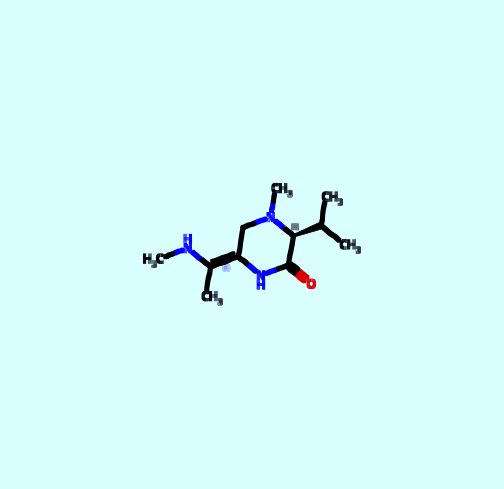 CN/C(C)=C1\CN(C)[C@@H](C(C)C)C(=O)N1